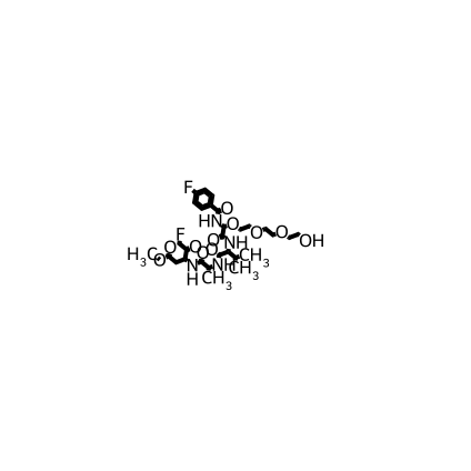 COC(=O)CC(NC(=O)C(C)NC(=O)C(NC(=O)C(NC(=O)c1ccc(F)cc1)OCCOCCOCCO)C(C)C)C(=O)CF